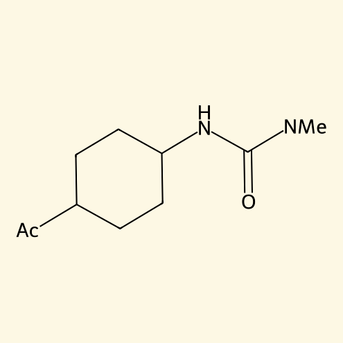 CNC(=O)NC1CCC(C(C)=O)CC1